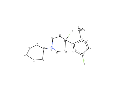 COc1ccc(F)cc1C1(F)CCN(C2CCCCC2)CC1